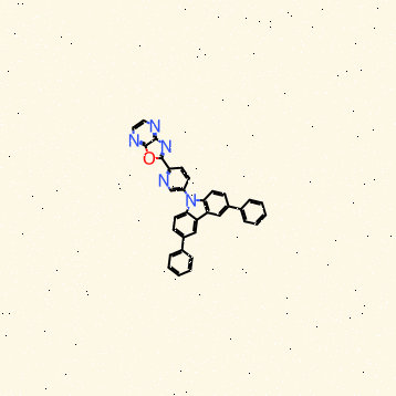 c1ccc(-c2ccc3c(c2)c2cc(-c4ccccc4)ccc2n3-c2ccc(-c3nc4nccnc4o3)nc2)cc1